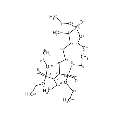 CCOP(=O)(OCC)C(C)CCCCC(C(CC)P(=O)(OCC)OCC)P(=O)(OCC)OCC